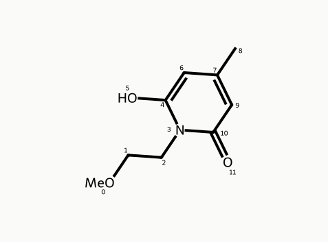 COCCn1c(O)cc(C)cc1=O